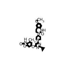 COc1ccc2c(c1)CCN(C1CCN(c3cc(OC4=CC(C)C5NC(=O)OC5=C4)nc(C4CC4)n3)CC1)C(=O)N2